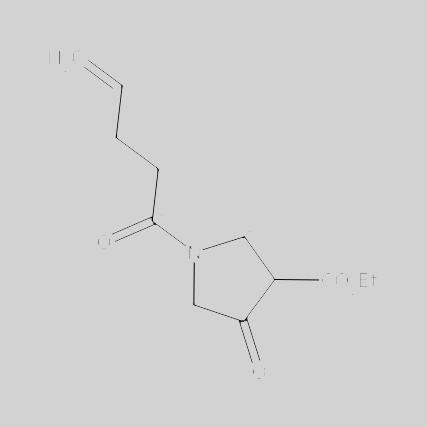 C=CCCC(=O)N1CC(=O)C(C(=O)OCC)C1